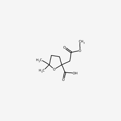 COC(=O)CC1(C(=O)O)CCC(C)(C)O1